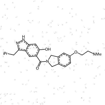 CNCCOc1ccc2c(c1)CN(C(=O)c1cc3c(CC(C)C)n[nH]c3cc1O)C2